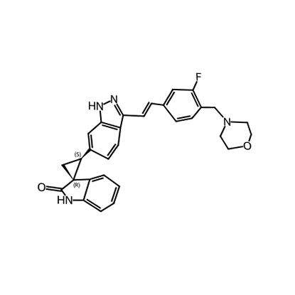 O=C1Nc2ccccc2[C@]12C[C@H]2c1ccc2c(C=Cc3ccc(CN4CCOCC4)c(F)c3)n[nH]c2c1